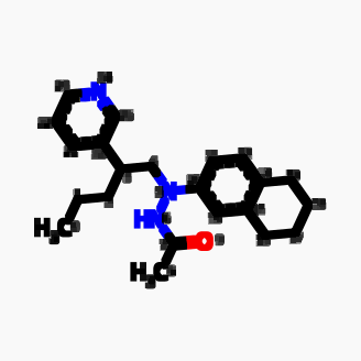 CCCC(CN(NC(C)=O)c1ccc2c(c1)CCCC2)c1cccnc1